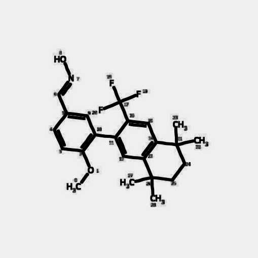 COc1ccc(C=NO)cc1-c1cc2c(cc1C(F)(F)F)C(C)(C)CCC2(C)C